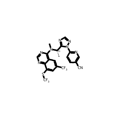 C[C@@H](c1ncnn1-c1ccc(C#N)cn1)N(C)c1ncnc2c(SC(F)(F)F)cc(C(F)(F)F)cc12